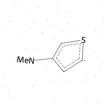 CNc1c[c]sc1